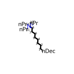 CCCCCCCCCCCCCCCCCC[N+](CCC)(CCC)CCC